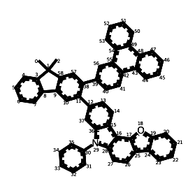 CC1(C)c2ccccc2-c2cc(-c3ccc4c5c6oc7ccccc7c6ccc5n(-c5ccccc5)c4c3)c(-c3ccc4c5ccccc5c5ccccc5c4c3)cc21